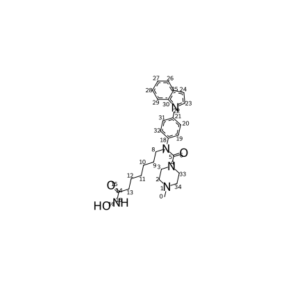 CN1CCN(C(=O)N(CCCCCCC(=O)NO)c2ccc(-n3ccc4ccccc43)cc2)CC1